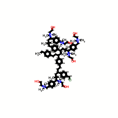 C=Cc1ccc(CCC(CC(CC(C)(C)C(c2ccc(C[N+](C)(C)CCO)cc2)[N+](C)(C)CCO)c2ccc(CC(C)(C)CC(c3ccc([N+](C)(C)CCO)cc3)[N+](C)(C)CCO)cc2)c2ccc(CCC(CC(C)(C)C(c3ccc(C[N+](C)(C)CCO)cc3)[N+](C)(C)CCO)c3ccc(CCl)cc3)cc2)cc1